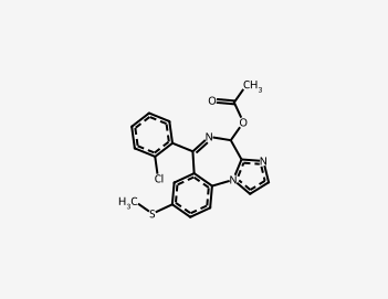 CSc1ccc2c(c1)C(c1ccccc1Cl)=NC(OC(C)=O)c1nccn1-2